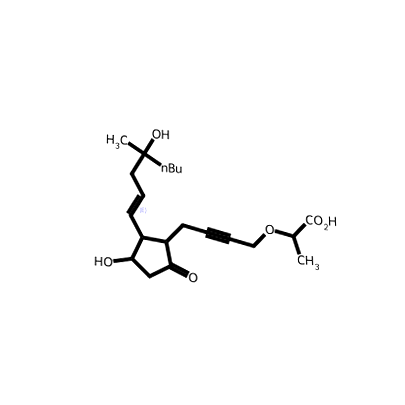 CCCCC(C)(O)C/C=C/C1C(O)CC(=O)C1CC#CCOC(C)C(=O)O